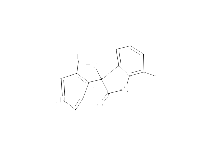 O=C1Nc2c(F)cccc2C1(O)c1ccncc1F